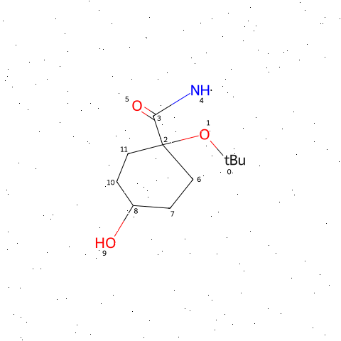 CC(C)(C)OC1(C([NH])=O)CCC(O)CC1